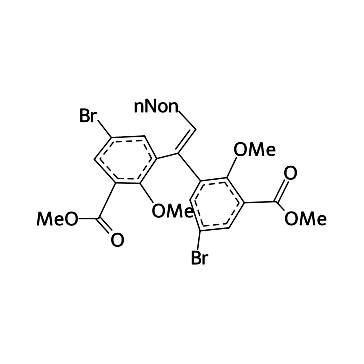 CCCCCCCCCC=C(c1cc(Br)cc(C(=O)OC)c1OC)c1cc(Br)cc(C(=O)OC)c1OC